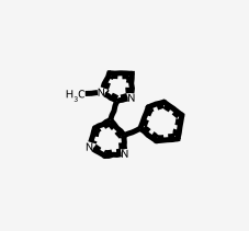 Cn1ccnc1-c1cncnc1-c1ccccc1